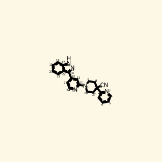 N#CC1(c2ccccn2)CCN(c2cc(-c3n[nH]c4ccccc34)ccn2)CC1